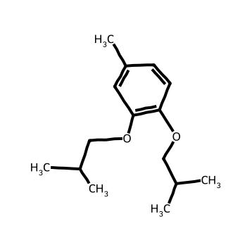 Cc1ccc(OCC(C)C)c(OCC(C)C)c1